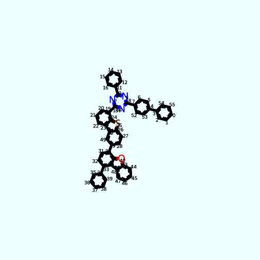 c1ccc(-c2ccc(-c3nc(-c4ccccc4)nc(-c4cccc5c4sc4ccc(-c6ccc(-c7ccccc7)c7c6oc6ccccc67)cc45)n3)cc2)cc1